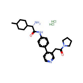 CC1CCC([C@H](N)C(=O)Nc2ccc(-c3ccncc3CC(=O)N3CCCC3)cc2)CC1.Cl.Cl